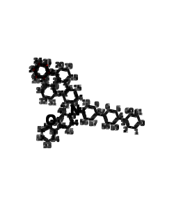 c1ccc(-c2ccc(-c3ccc(N(c4ccc(-c5cccc(-c6ccccc6)c5-c5ccccc5-c5ccccc5)cc4)c4ccc5c(c4)oc4ccccc45)cc3)cc2)cc1